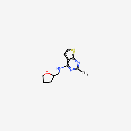 Cc1nc(NCC2CCCO2)c2ccsc2n1